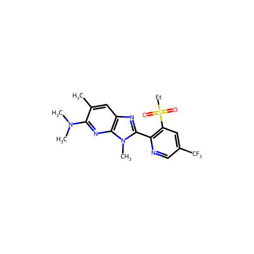 CCS(=O)(=O)c1cc(C(F)(F)F)cnc1-c1nc2cc(C)c(N(C)C)nc2n1C